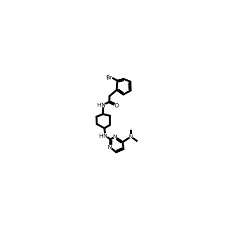 CN(C)c1ccnc(NC2CCC(NC(=O)Cc3ccccc3Br)CC2)n1